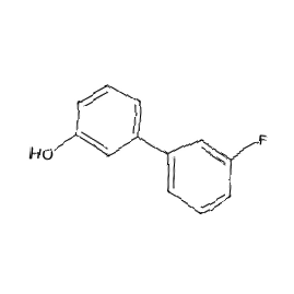 Oc1cccc(-c2cccc(F)c2)c1